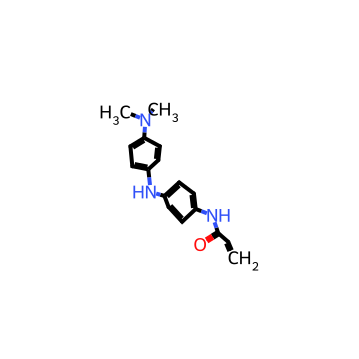 C=CC(=O)Nc1ccc(Nc2ccc(N(C)C)cc2)cc1